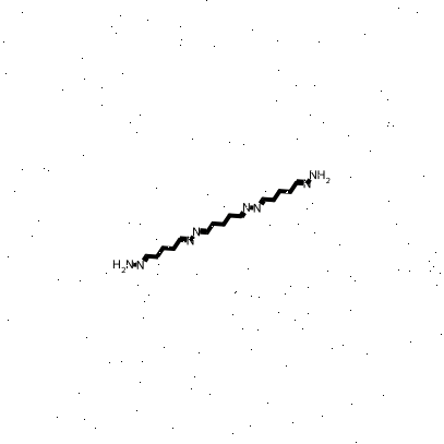 N/N=C/CCC/C=N/N=C/CCC/C=N/N=C/CCC/C=N/N